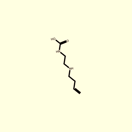 C=CCCNCCNC(=O)O